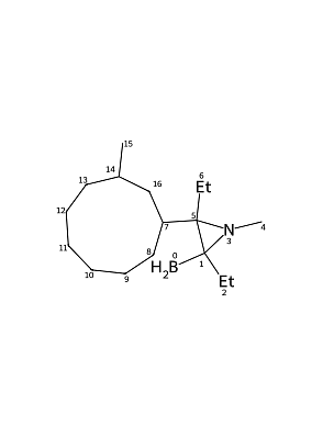 BC1(CC)N(C)C1(CC)C1CCCCCCC(C)C1